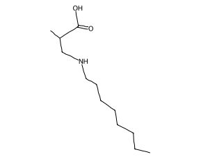 CCCCCCCCNCC(C)C(=O)O